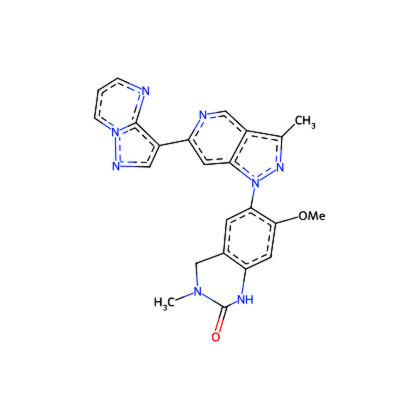 COc1cc2c(cc1-n1nc(C)c3cnc(-c4cnn5cccnc45)cc31)CN(C)C(=O)N2